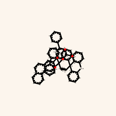 c1ccc(-c2nc(-c3ccc4c(ccc5ccccc54)c3)nc(-c3cccc4c3C3(c5ccccc5S4)c4ccccc4C4(c5ccccc5-c5ccccc54)c4ccccc43)n2)cc1